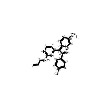 C=CCNc1nccc(-c2c(-c3ccc(F)cc3)nn3cc(C(F)(F)F)ccc23)n1